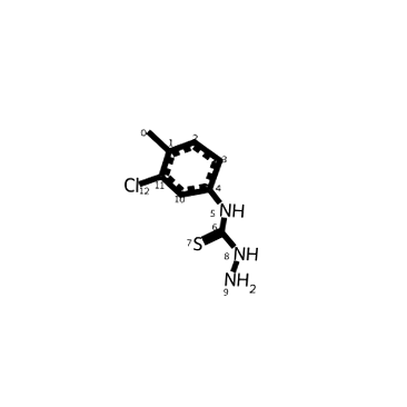 Cc1ccc(NC(=S)NN)cc1Cl